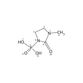 CN1CCN(P(=O)(O)O)C1=O